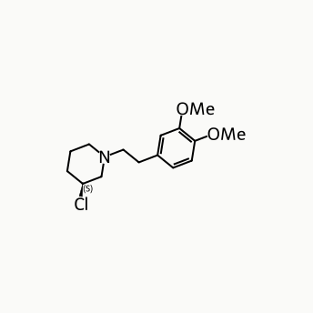 COc1ccc(CCN2CCC[C@H](Cl)C2)cc1OC